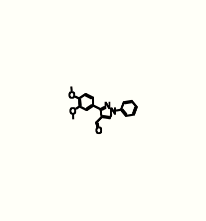 COc1ccc(-c2nn(-c3ccccc3)cc2C=O)cc1OC